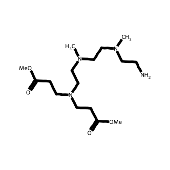 COC(=O)CCN(CCC(=O)OC)CCN(C)CCN(C)CCN